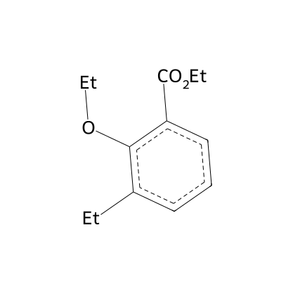 CCOC(=O)c1cccc(CC)c1OCC